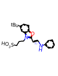 CC(C)(C)c1ccc2oc(/C=C/Nc3ccccc3)[n+](CCCS(=O)(=O)O)c2c1